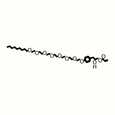 C=CC(=O)OCC(O)Cc1ccc(OCCOCCOCCOCCOCCOCCOCCOCCCCCCCCC)cc1